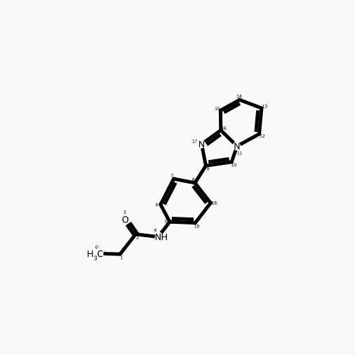 CCC(=O)Nc1ccc(-c2cn3ccccc3n2)cc1